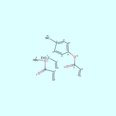 C=CC(=O)OCC.C=CC(=O)OCCCC.C=CC(=O)Oc1ccc(C#N)cc1